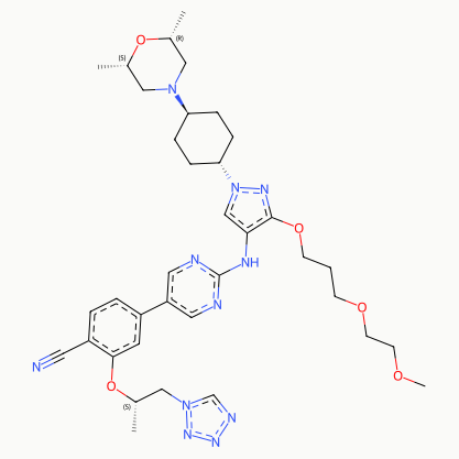 COCCOCCCOc1nn([C@H]2CC[C@H](N3C[C@@H](C)O[C@@H](C)C3)CC2)cc1Nc1ncc(-c2ccc(C#N)c(O[C@@H](C)Cn3cnnn3)c2)cn1